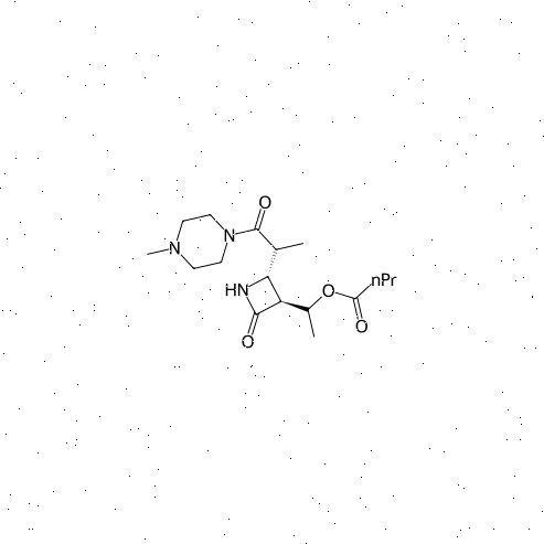 CCCC(=O)OC(C)[C@H]1C(=O)N[C@@H]1C(C)C(=O)N1CCN(C)CC1